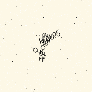 CCC(=O)OC(C)ON=[N+]([O-])N1CCC[C@H]1C(=O)NS(=O)(=O)c1ccc(-n2nc(C(F)(F)F)cc2-c2ccc(C)cc2)cc1